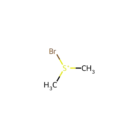 C[S+](C)Br